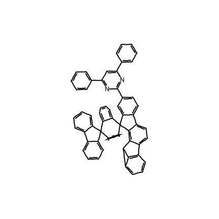 c1ccc(-c2cc(-c3ccccc3)nc(-c3ccc4c(c3)C3(c5ccccc5C5(c6ccccc6-c6ccccc65)c5ccccc53)c3c-4ccc4c3C3c5cccc-4c53)n2)cc1